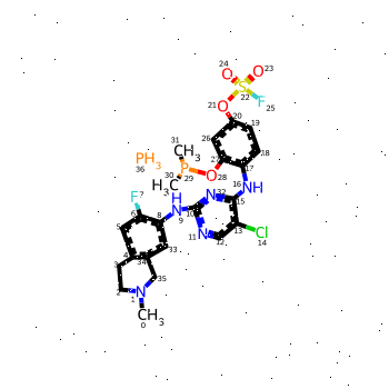 CN1CCc2cc(F)c(Nc3ncc(Cl)c(Nc4ccc(OS(=O)(=O)F)cc4OP(C)C)n3)cc2C1.P